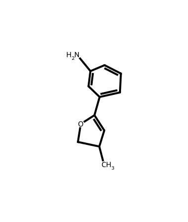 CC1C=C(c2cccc(N)c2)OC1